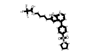 O=C(OCCCCc1cc2c(-c3ccc(S(=O)(=O)N4CCCC4)cc3)ccnc2[nH]1)C(F)(F)F